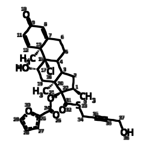 C[C@@H]1CC2C3CCC4=CC(=O)C=C[C@]4(C)[C@@]3(Cl)[C@@H](O)C[C@]2(C)[C@@]1(OC(=O)c1ccco1)C(=O)SCC#CCO